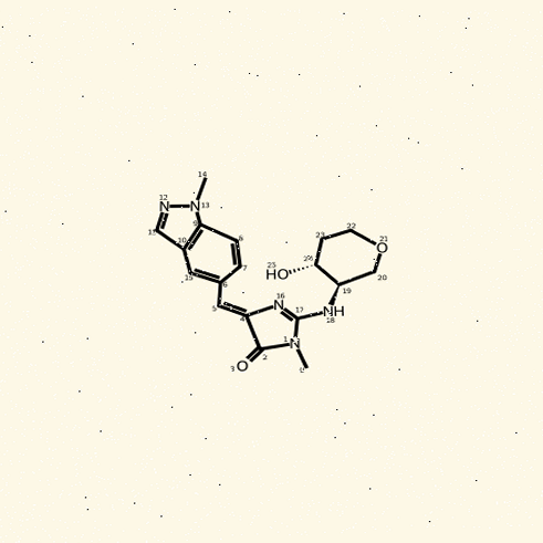 CN1C(=O)/C(=C/c2ccc3c(cnn3C)c2)N=C1N[C@@H]1COCC[C@H]1O